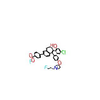 O=C(OF)c1ccc(-c2ccc3c(c2)CCCC(c2ccc(Cl)cc2O)=C3c2ccc(OC3CCN(CCCF)C3)cc2)cc1